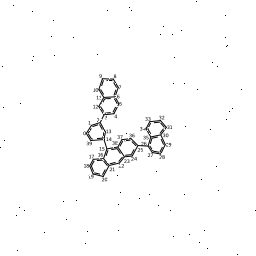 c1cc(-c2ccc3ccccc3c2)cc(-c2c3ccccc3cc3cc(-c4cccc5ccccc45)ccc23)c1